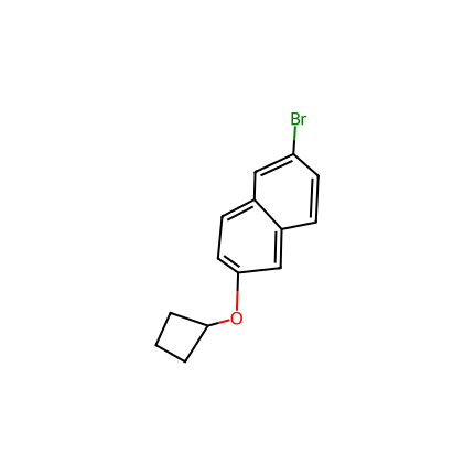 Brc1ccc2cc(OC3CCC3)ccc2c1